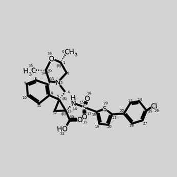 C[C@@H]1CN(C[C@@]2(c3ccccc3)C[C@]2(NS(=O)(=O)c2ccc(-c3ccc(Cl)cc3)s2)C(=O)O)C[C@H](C)O1